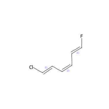 F/C=C/C=C\C=C\Cl